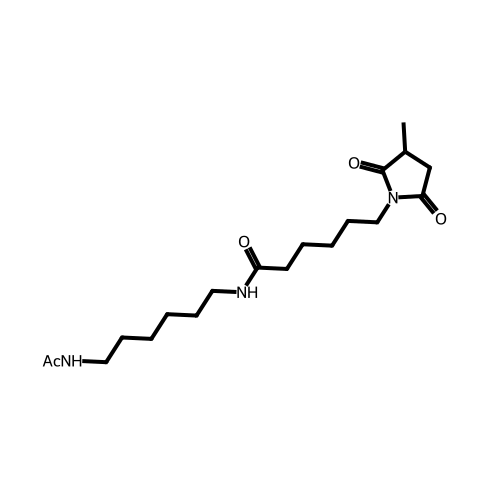 CC(=O)NCCCCCCNC(=O)CCCCCN1C(=O)CC(C)C1=O